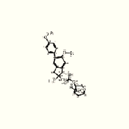 CCCOc1ccc(-c2cc3c(cc2OCC)[C@H](NC(=O)O[C@@H]2CN4CCC2CC4)C(C)(C)C3)cc1